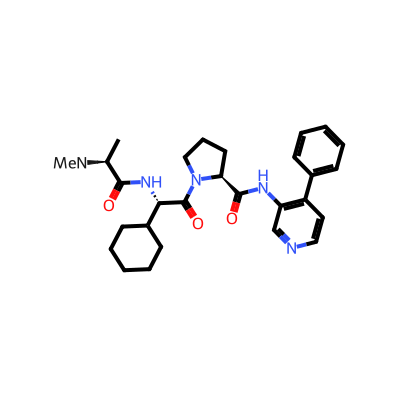 CN[C@@H](C)C(=O)N[C@H](C(=O)N1CCC[C@H]1C(=O)Nc1cnccc1-c1ccccc1)C1CCCCC1